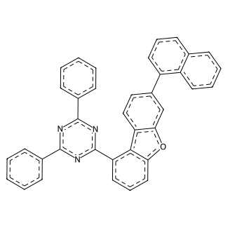 c1ccc(-c2nc(-c3ccccc3)nc(-c3cccc4oc5cc(-c6cccc7ccccc67)ccc5c34)n2)cc1